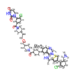 COc1cc2nc(C)nc(N[C@H](C)c3cc(-c4c(Cl)cccc4CN(C)C)cs3)c2cc1C1CCC(C(=O)N2CCC(COCCC3CCN(C(=O)c4ccc(Cl)c(-n5ccc(=O)[nH]c5=O)c4)CC3)CC2)CC1